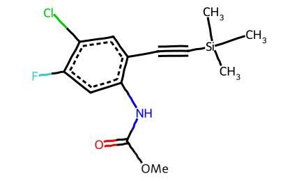 COC(=O)Nc1cc(F)c(Cl)cc1C#C[Si](C)(C)C